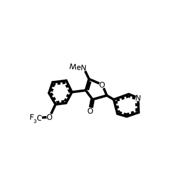 CNC1=C(c2cccc(OC(F)(F)F)c2)C(=O)C(c2cccnc2)O1